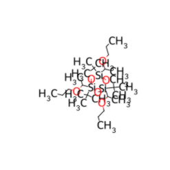 CCCOC(C)[Si]1(C(C)(C)C)O[Si](C(C)OCCC)(C(C)(C)C)O[Si](C(C)OCCC)(C(C)(C)C)O1